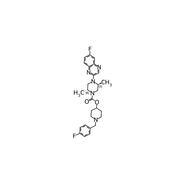 C[C@@H]1CN(c2cnc3cc(F)ccc3n2)[C@@H](C)CN1C(=O)OC1CCN(Cc2ccc(F)cc2)CC1